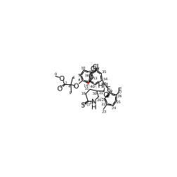 COC(=O)C(C)(C)Oc1ccc(Cl)cc1[C@H]1CC(=S)N[C@@H](c2c(C)ccc(F)c2F)[C@]12C(=O)Nc1cc(Cl)ccc12